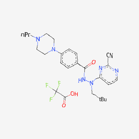 CCCN1CCN(c2ccc(C(=O)NN(CC(C)(C)C)c3ccnc(C#N)n3)cc2)CC1.O=C(O)C(F)(F)F